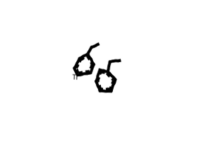 CCc1ccccc1.CCc1ccccc1.[Ti]